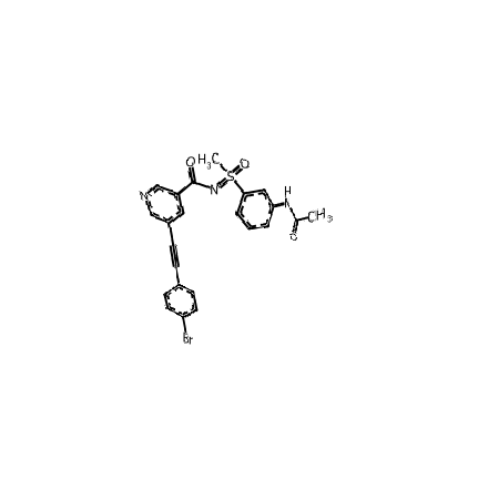 CC(=O)Nc1cccc(S(C)(=O)=NC(=O)c2cncc(C#Cc3ccc(Br)cc3)c2)c1